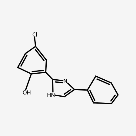 Oc1ccc(Cl)cc1-c1nc(-c2ccccc2)c[nH]1